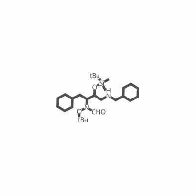 CC(C)(C)ON(C=O)C(CC1CCCCC1)C(CNCC1CCCCC1)O[Si](C)(C)C(C)(C)C